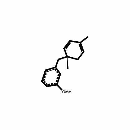 COc1cccc(C[C@]2(C)C=CC(C)=CC2)c1